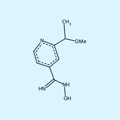 COC(C)c1cc(C(=N)NO)ccn1